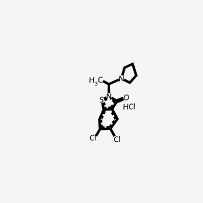 CC(N1CCCC1)n1sc2cc(Cl)c(Cl)cc2c1=O.Cl